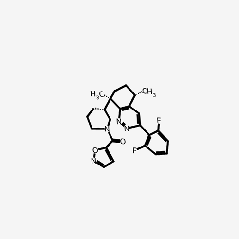 C[C@H]1CC[C@](C)([C@H]2CCCN(C(=O)c3ccno3)C2)c2nnc(-c3c(F)cccc3F)cc21